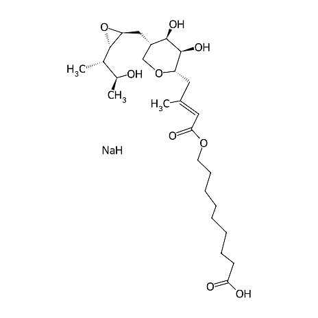 C/C(=C\C(=O)OCCCCCCCCC(=O)O)C[C@@H]1OC[C@H](C[C@@H]2O[C@H]2[C@@H](C)[C@H](C)O)[C@@H](O)[C@H]1O.[NaH]